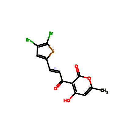 Cc1cc(O)c(C(=O)/C=C/c2cc(Br)c(Br)s2)c(=O)o1